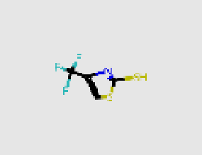 FC(F)(F)c1csc(S)n1